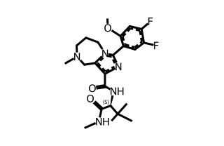 CNC(=O)[C@@H](NC(=O)c1nc(-c2cc(F)c(F)cc2OC)n2c1CN(C)CCC2)C(C)(C)C